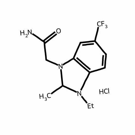 CCN1c2ccc(C(F)(F)F)cc2N(CC(N)=O)C1C.Cl